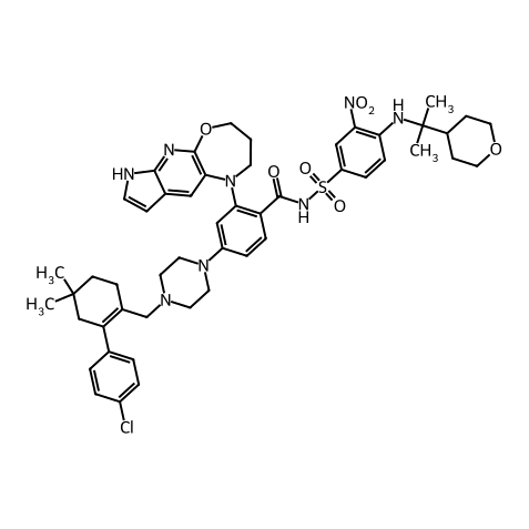 CC1(C)CCC(CN2CCN(c3ccc(C(=O)NS(=O)(=O)c4ccc(NC(C)(C)C5CCOCC5)c([N+](=O)[O-])c4)c(N4CCCOc5nc6[nH]ccc6cc54)c3)CC2)=C(c2ccc(Cl)cc2)C1